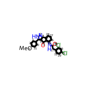 COc1ccc(-c2[nH]nc3c2C(=O)c2c(NC(=O)Cc4ccc(Cl)cc4Cl)cccc2-3)cc1